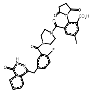 O=C(O)c1cc(I)cc(C(=O)N2CCN(C(=O)c3cc(Cc4n[nH]c(=O)c5ccccc45)ccc3F)CC2)c1N1C(=O)CCC1=O